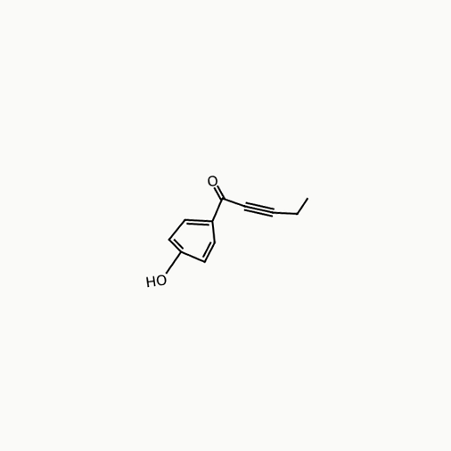 CCC#CC(=O)c1ccc(O)cc1